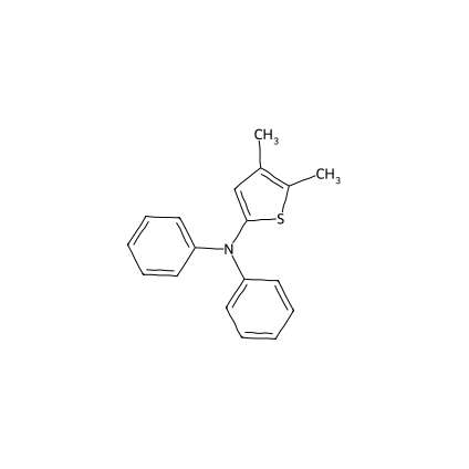 Cc1cc(N(c2ccccc2)c2ccccc2)sc1C